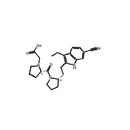 CCc1c(CC[C@@H]2CCCN2C(=O)[C@@H]2CCCN2CC(=O)O)[nH]c2cc(C#N)ccc12